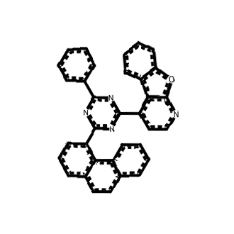 c1ccc(-c2nc(-c3cccc4ccc5ccccc5c34)nc(-c3ccnc4oc5ccccc5c34)n2)cc1